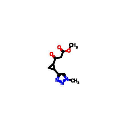 COC(=O)CC(=O)C1CC1c1cn(C)nn1